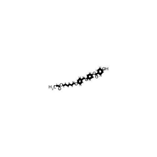 C=CC(=O)OCCCCCCOc1ccc(COc2ccc(OC(=O)c3ccc(O)cc3)cc2)cc1